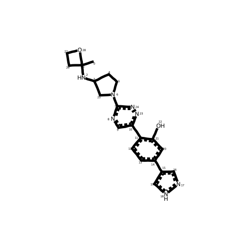 CC1(NC2CCN(c3ncc(-c4ccc(-c5cn[nH]c5)cc4O)nn3)C2)CCO1